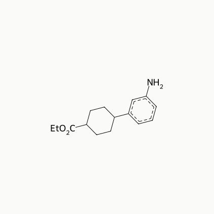 CCOC(=O)C1CCC(c2cccc(N)c2)CC1